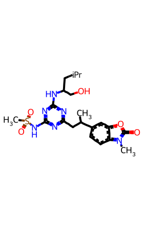 CC(C)CC(CO)Nc1nc(CC(C)c2ccc3c(c2)oc(=O)n3C)nc(NS(C)(=O)=O)n1